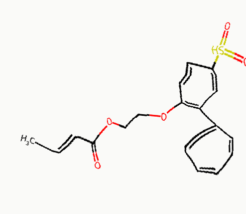 CC=CC(=O)OCCOc1ccc([SH](=O)=O)cc1-c1ccccc1